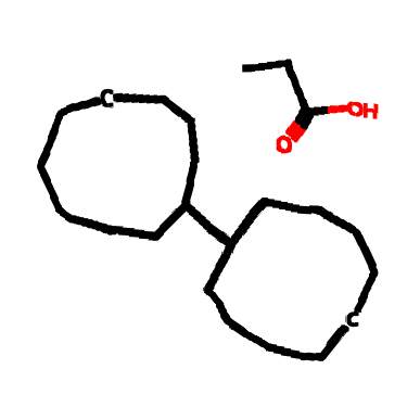 C1CCCCC(C2CCCCCCCCC2)CCCC1.CCC(=O)O